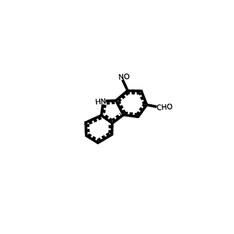 O=Cc1cc(N=O)c2[nH]c3ccccc3c2c1